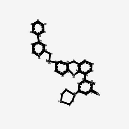 O=c1cc(N2CCOCC2)cc(-c2cccc3c2Oc2ccc(NCc4cc(-c5ccccn5)ccn4)cc2C3)[nH]1